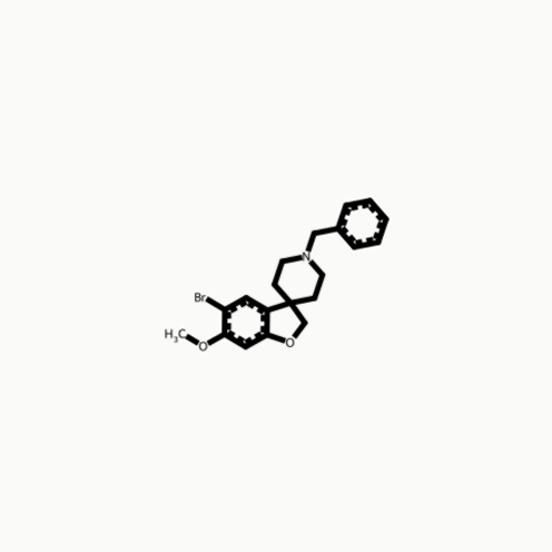 COc1cc2c(cc1Br)C1(CCN(Cc3ccccc3)CC1)CO2